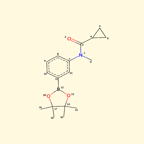 CN(C(=O)C1CC1)c1cccc(B2OC(C)(C)C(C)(C)O2)c1